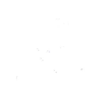 CCN(C[C@H]1CC[C@H](CC)CC1)c1ccc(C(F)(F)F)cc1CN(c1ncc(OCCS(C)(=O)=O)cn1)C(C)c1cc(C(F)(F)F)cc(C(F)(F)F)c1